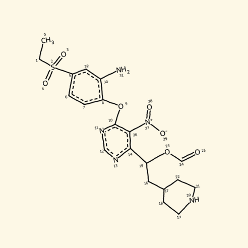 CCS(=O)(=O)c1ccc(Oc2ncnc(C(CC3CCNCC3)OC=O)c2[N+](=O)[O-])c(N)c1